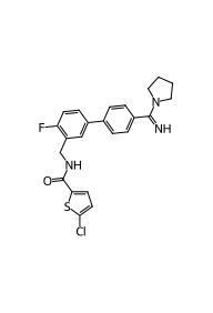 N=C(c1ccc(-c2ccc(F)c(CNC(=O)c3ccc(Cl)s3)c2)cc1)N1CCCC1